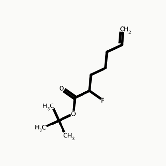 C=CCCCC(F)C(=O)OC(C)(C)C